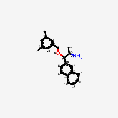 Cc1cc(C)cc(COC(c2ccc3ccccc3c2)C(C)N)c1